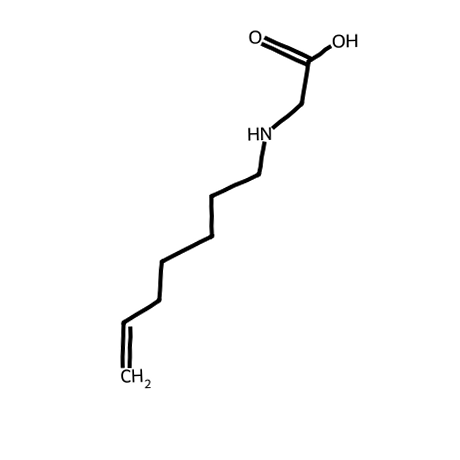 C=CCCCCCNCC(=O)O